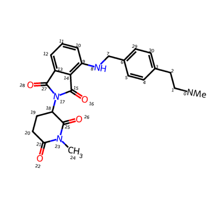 CNCCc1ccc(CNc2cccc3c2C(=O)N(C2CCC(=O)N(C)C2=O)C3=O)cc1